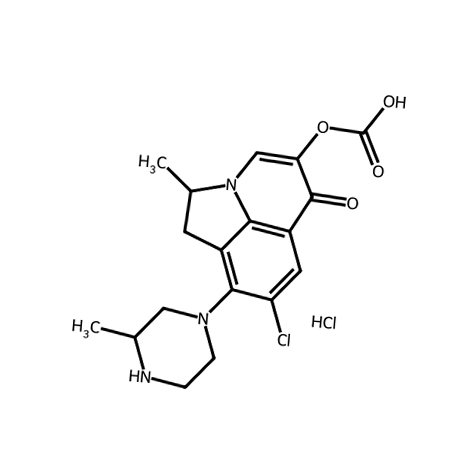 CC1CN(c2c(Cl)cc3c(=O)c(OC(=O)O)cn4c3c2CC4C)CCN1.Cl